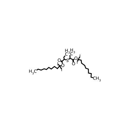 CCCCCCCCCC(I)(I)OC(=O)C(CC)SC(CC)C(=O)OC(I)(I)CCCCCCCCC